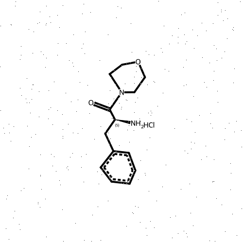 Cl.N[C@@H](Cc1ccccc1)C(=O)N1CCOCC1